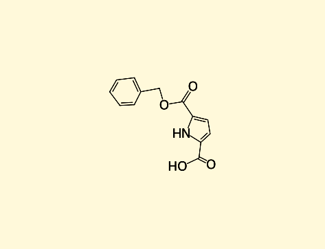 O=C(O)c1ccc(C(=O)OCc2ccccc2)[nH]1